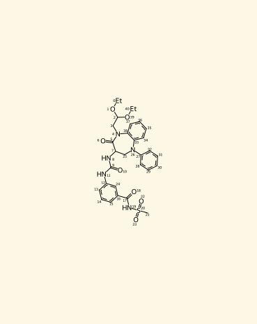 CCOC(CN1C(=O)C(NC(=O)Nc2cccc(C(=O)NS(C)(=O)=O)c2)CN(c2ccccc2)c2ccccc21)OCC